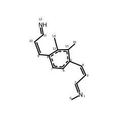 C/N=C/C=C\c1ccc(/C=C\C=N)c(C)c1C